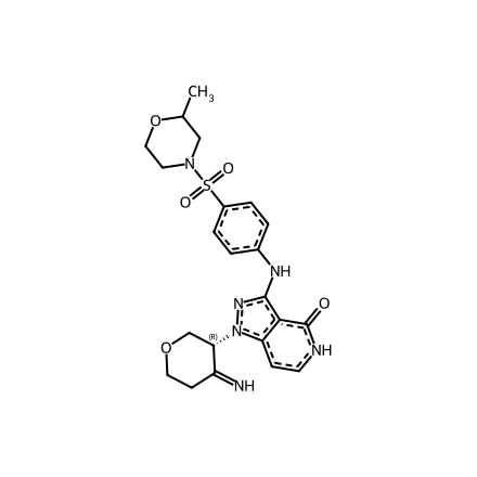 CC1CN(S(=O)(=O)c2ccc(Nc3nn([C@H]4COCCC4=N)c4cc[nH]c(=O)c34)cc2)CCO1